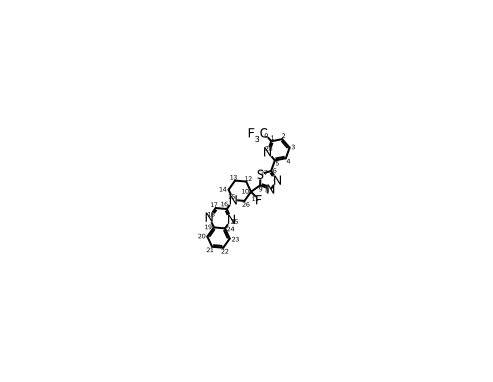 FC(F)(F)c1cccc(-c2nnc(C3(F)CCCN(c4cnc5ccccc5n4)C3)s2)n1